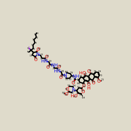 CCCCCCCC(C)(I)C1CC(=O)N(CCC(=O)NCC(=O)NCC(=O)NCC(=O)N2CCC(NC(=O)[C@@H]3Cc4c(O)c5c(c(O)c4[C@@H](OC4C[C@H](N6CCO[C@H](OC)C6)[C@H](O)[C@H](C)O4)C3)C(=O)c3c(OC)cccc3C5=O)CC2)C1=O